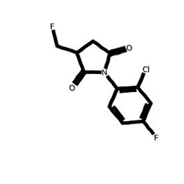 O=C1CC(CF)C(=O)N1c1ccc(F)cc1Cl